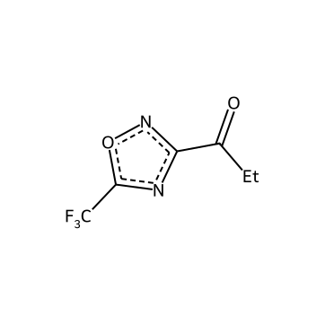 CCC(=O)c1noc(C(F)(F)F)n1